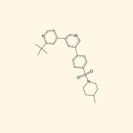 CC1CCN(S(=O)(=O)c2ccc(-c3cncc(-c4ccnc(C(C)(C)C)c4)c3)cc2)CC1